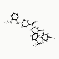 COc1ccccc1OC1CCC(C(=O)N(CCCc2cccc(F)c2)Cc2ccc(C(=O)O)cc2)CC1